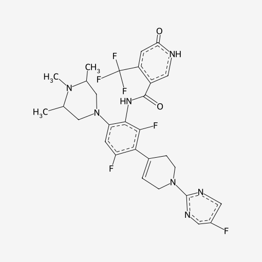 CC1CN(c2cc(F)c(C3=CCN(c4ncc(F)cn4)CC3)c(F)c2NC(=O)c2c[nH]c(=O)cc2C(F)(F)F)CC(C)N1C